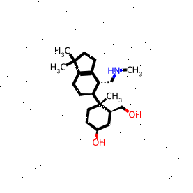 CNC[C@H]1C2=C(CC[C@@H]1[C@@]1(C)CC[C@H](O)C[C@@H]1CO)C(C)(C)CC2